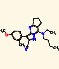 CCCCN(CC)c1c2c(nc3c(-c4ccc(OC)cc4C)c(C#N)nn13)CCC2